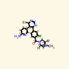 CCc1ncnc(-c2ccc(C(=O)N3C[C@H]4C[C@@H]3CN4C)c(F)c2)c1-c1ccc(N)nc1